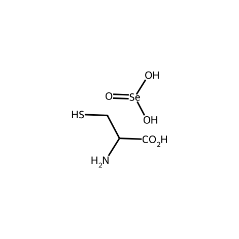 NC(CS)C(=O)O.O=[Se](O)O